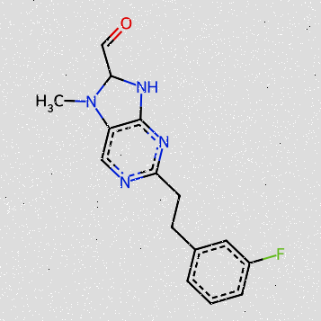 CN1c2cnc(CCc3cccc(F)c3)nc2NC1C=O